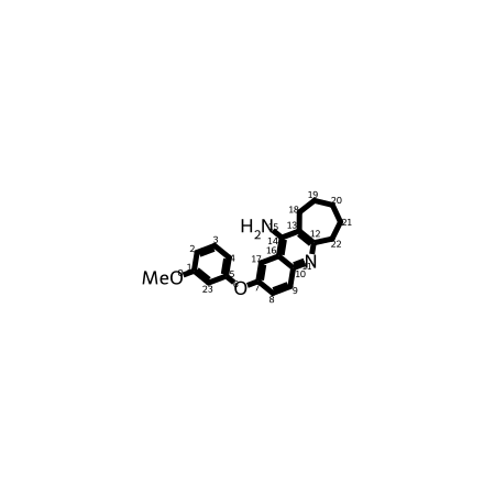 COc1cccc(Oc2ccc3nc4c(c(N)c3c2)CCCCC4)c1